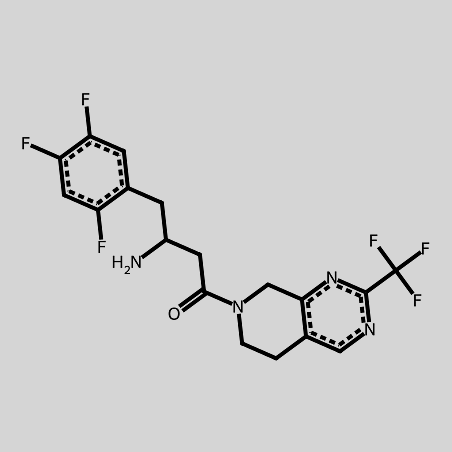 NC(CC(=O)N1CCc2cnc(C(F)(F)F)nc2C1)Cc1cc(F)c(F)cc1F